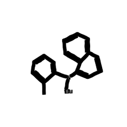 Cc1ccccc1N(c1cccc2ccccc12)C(C)(C)C